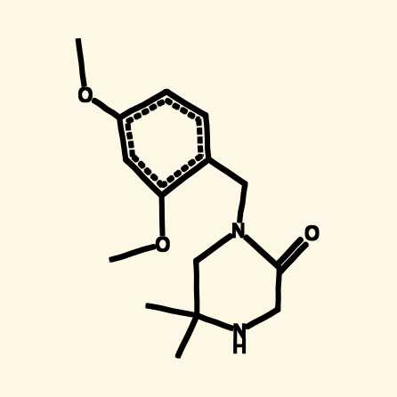 COc1ccc(CN2CC(C)(C)NCC2=O)c(OC)c1